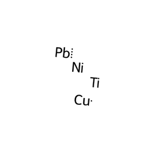 [Cu].[Ni].[Pb].[Ti]